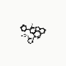 O=C(c1cc(-c2ccccc2)c(=O)n2c1-c1c(Cl)cccc1C2)N1CCC[C@@H]1CO